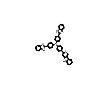 c1ccc2oc(-c3ccc(N(c4ccc(-c5cc6oc7ccccc7c6cn5)cc4)c4ccc(-c5nc6ccccc6o5)cc4)cc3)nc2c1